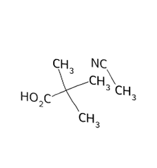 CC#N.CC(C)(C)C(=O)O